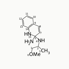 COCC(C)NC1(N)C=Cc2ccc[c]c2N1